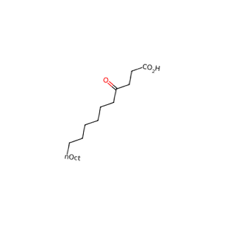 CCCCCCCCCCCCCCC(=O)CCC(=O)O